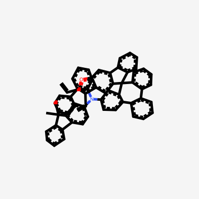 C=Cc1oc2cc3c(cc2c1C=C)C1(c2ccccc2-c2ccccc2-c2ccc(N(c4ccc5c(c4)C(C)(C)c4ccccc4-5)c4ccccc4-c4ccccc4)cc21)c1ccccc1-3